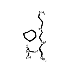 C1CCCCC1.NCCNCCNCCN.O=[PH](O)O